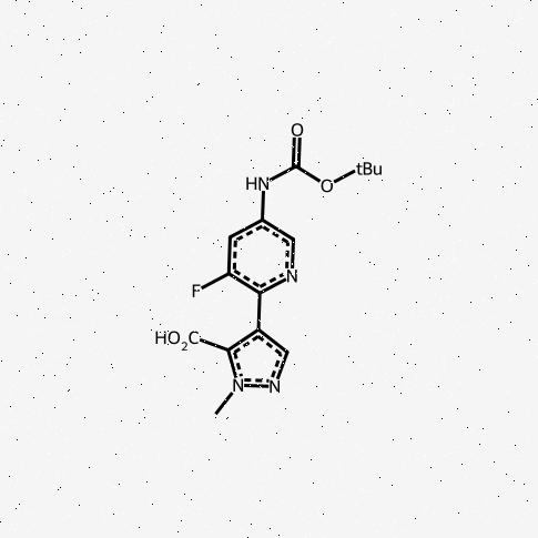 Cn1ncc(-c2ncc(NC(=O)OC(C)(C)C)cc2F)c1C(=O)O